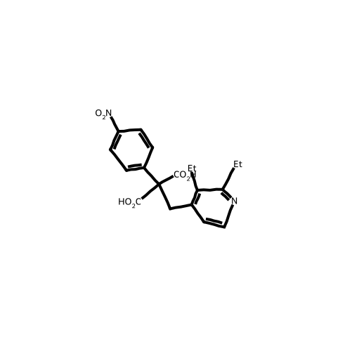 CCc1nccc(CC(C(=O)O)(C(=O)O)c2ccc([N+](=O)[O-])cc2)c1CC